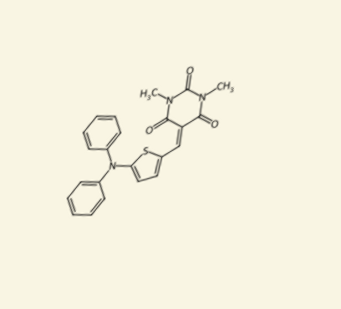 CN1C(=O)C(=Cc2ccc(N(c3ccccc3)c3ccccc3)s2)C(=O)N(C)C1=O